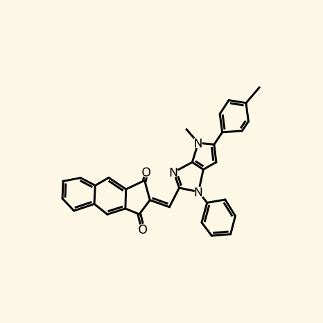 Cc1ccc(-c2cc3c(nc(C=C4C(=O)c5cc6ccccc6cc5C4=O)n3-c3ccccc3)n2C)cc1